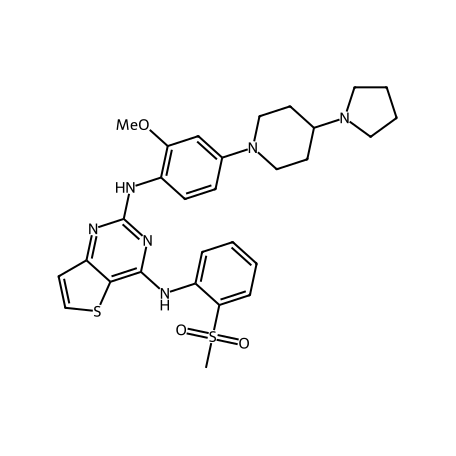 COc1cc(N2CCC(N3CCCC3)CC2)ccc1Nc1nc(Nc2ccccc2S(C)(=O)=O)c2sccc2n1